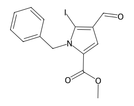 COC(=O)c1cc(C=O)c(I)n1Cc1ccccc1